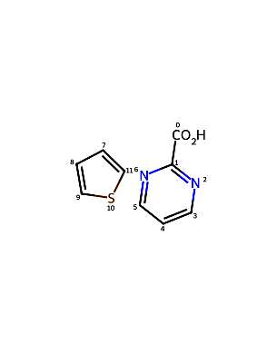 O=C(O)c1ncccn1.c1ccsc1